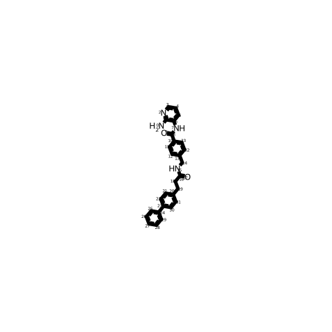 Nc1ncccc1NC(=O)c1ccc(CNC(=O)CCc2ccc(-c3ccccc3)cc2)cc1